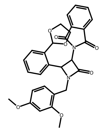 COc1ccc(CN2C(=O)C(N3C(=O)c4ccccc4C3=O)C2c2ccccc2C2OCCO2)c(OC)c1